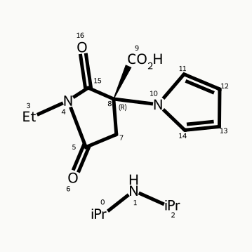 CC(C)NC(C)C.CCN1C(=O)C[C@@](C(=O)O)(n2cccc2)C1=O